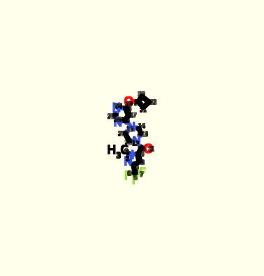 Cn1nc(C(F)(F)F)cc1C(=O)N1CCN(c2cc(OC3CCC3)ncn2)CC1